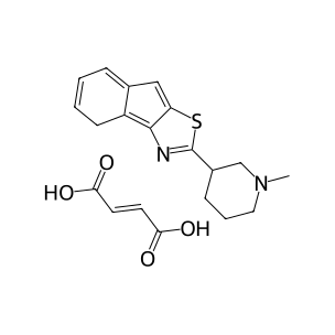 CN1CCCC(c2nc3c(s2)=CC2=CC=CCC=32)C1.O=C(O)C=CC(=O)O